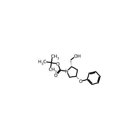 CC(C)(C)OC(=O)N1C[C@@H](Oc2ccccc2)C[C@H]1CO